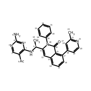 CC(=O)c1cnc(N)nc1N[C@@H](C)c1cc2cccc(-c3ccnc(C)c3)c2c(=O)n1-c1ccccc1